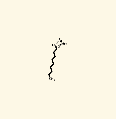 O=[S-](=O)O.[CH2]CCCCCCCCC.[Li+]